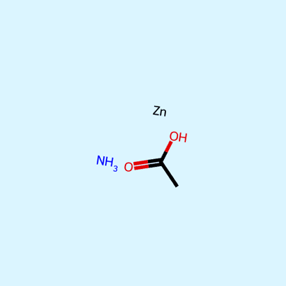 CC(=O)O.N.[Zn]